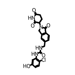 O=C1CCC(N2Cc3cc(CNC(=O)Nc4cc(O)ccc4Cl)ccc3C2=O)C(=O)N1